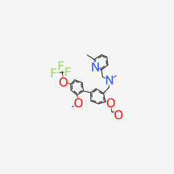 COc1cc(OC(F)(F)F)ccc1-c1ccc(OC=O)c(CN(C)Cc2cccc(C)n2)c1